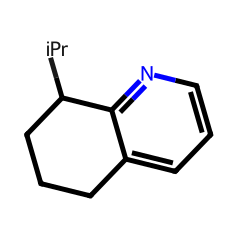 CC(C)C1CCCc2cccnc21